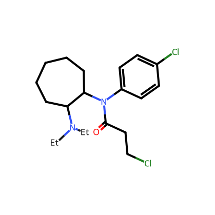 CCN(CC)C1CCCCCC1N(C(=O)CCCl)c1ccc(Cl)cc1